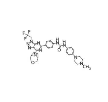 CN1CCN(c2ccc(NC(=O)Nc3ccc(-c4nc(N5C6CCC5COC6)c5nnn(CC(F)(F)F)c5n4)cc3)cc2)CC1